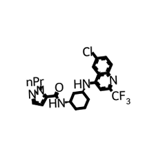 CCCn1nccc1C(=O)N[C@@H]1CCC[C@H](Nc2cc(C(F)(F)F)nc3ccc(Cl)cc23)C1